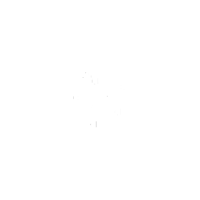 O=C(Cl)C(Cl)(Cl)Cl.[Zn]